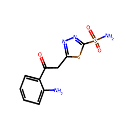 Nc1ccccc1C(=O)Cc1nnc(S(N)(=O)=O)s1